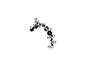 Nc1nc(NCCN2CCN(c3ccc(C(=O)NCCNCCO)cc3F)CC2)nc2cc(-c3ccco3)nn12